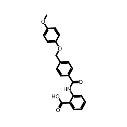 COc1ccc(OCc2ccc(C(=O)Nc3ccccc3C(=O)O)cc2)cc1